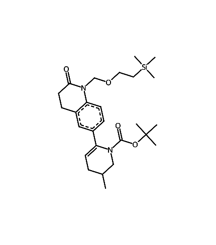 CC1CC=C(c2ccc3c(c2)CCC(=O)N3COCC[Si](C)(C)C)N(C(=O)OC(C)(C)C)C1